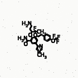 Cn1cnc(-c2ccc(OC(CCN)C(C)(F)OCCc3ccc(OC(F)(F)F)cc3)c(C(N)=O)c2)c1